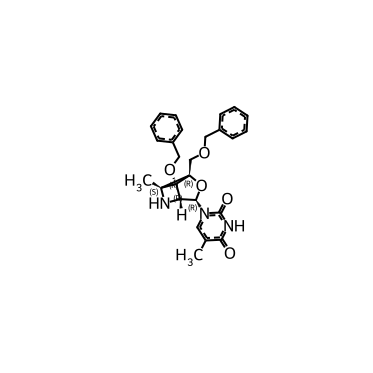 Cc1cn([C@@H]2O[C@@]3(COCc4ccccc4)[C@@]4(C)N[C@@H]2[C@@]43OCc2ccccc2)c(=O)[nH]c1=O